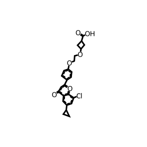 O=C(O)C1CC(OCCOc2ccc(-c3cc(=O)c4cc(C5CC5)cc(Cl)c4o3)cc2)C1